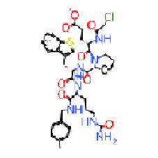 COC(=O)CC[C@H](NC(=O)CCl)C(=O)N1CCCC[C@H]1C(=O)N[C@@H](Cc1csc2ccccc12)C(=O)N[C@@H](CCCNC(N)=O)C(=O)NCc1ccc(C)cc1